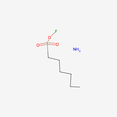 CCCCCCS(=O)(=O)OF.N